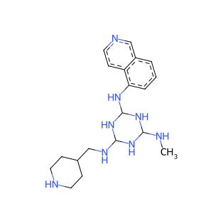 CNC1NC(NCC2CCNCC2)NC(Nc2cccc3cnccc23)N1